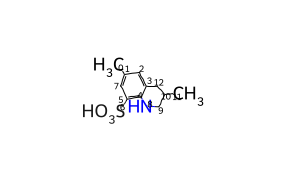 Cc1cc2c(c(S(=O)(=O)O)c1)NCC(C)C2